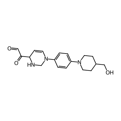 O=CC(=O)C1C=CN(c2ccc(N3CCC(CO)CC3)cc2)CN1